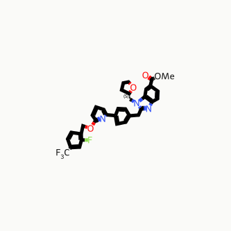 COC(=O)c1ccc2nc(Cc3ccc(-c4cccc(OCc5ccc(C(F)(F)F)cc5F)n4)cc3)n(C[C@@H]3CCCO3)c2c1